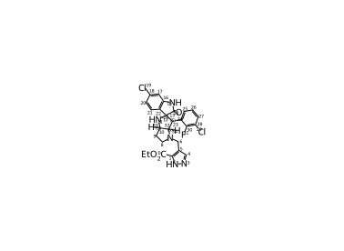 CCOC(=O)c1[nH]ncc1CN1CC[C@@H]2N[C@@]3(C(=O)Nc4cc(Cl)ccc43)[C@@H](c3cccc(Cl)c3F)[C@@H]21